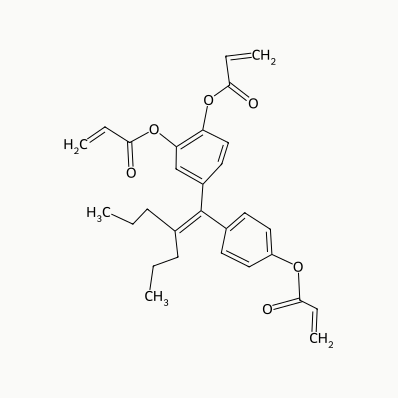 C=CC(=O)Oc1ccc(C(=C(CCC)CCC)c2ccc(OC(=O)C=C)c(OC(=O)C=C)c2)cc1